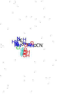 N#Cc1ccc(NC(=O)N2CC[C@@H](CC(=O)Nc3ccc4cc3CCc3cncc(c3)Nc3ncc(Cl)c(n3)N4)C2)cc1.O=C(O)C(F)(F)F.O=C(O)C(F)(F)F